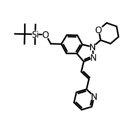 CC(C)(C)[Si](C)(C)OCc1ccc2c(c1)c(C=Cc1ccccn1)nn2C1CCCCO1